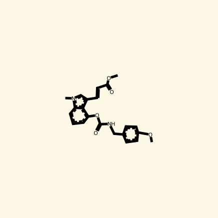 COC(=O)/C=C/c1cn(C)c2cccc(OC(=O)NCc3ccc(OC)cc3)c12